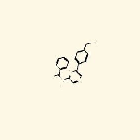 CCCC(Nc1cncc(-c2ccc(CO)cc2)n1)c1ccccc1